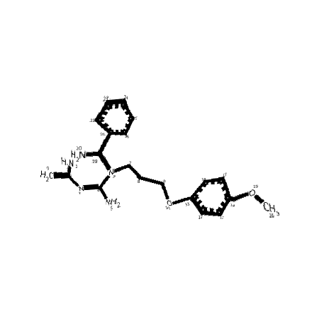 C=C(N)/N=C(/N)N(CCCOc1ccc(OC)cc1)C(N)c1ccccc1